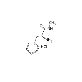 CNC(=O)[C@@H](N)Cc1ccc(I)cc1.Cl